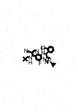 CC(C)(C)CNc1c(C#N)cnc2c(N[C@H](c3cn(C4CC4)nn3)c3ccccc3Cl)cc(F)cc12